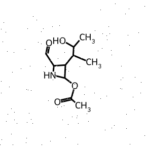 CC(=O)OC1NC(C=O)C1C(C)C(C)O